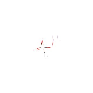 O=[S](=O)([Pd])OP